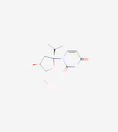 CC(C)[C@]1(n2ccc(=O)[nH]c2=O)C[C@H](O)[C@@H](CO)O1